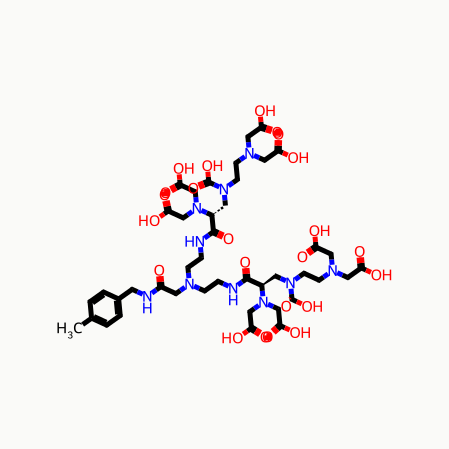 Cc1ccc(CNC(=O)CN(CCNC(=O)[C@@H](CN(CCN(CC(=O)O)CC(=O)O)C(=O)O)N(CC(=O)O)CC(=O)O)CCNC(=O)[C@@H](CN(CCN(CC(=O)O)CC(=O)O)C(=O)O)N(CC(=O)O)CC(=O)O)cc1